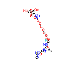 Cc1nc2cc(C(=O)Nc3nc(-c4ccccn4)cs3)ccc2n1CCCC(=O)NCc1ccc(OC(=O)CCOCCOCCOCCOCCOCCOCCNC(=O)Nc2ccc3c(c2)C(=O)OC32c3ccc(O)cc3Oc3cc(O)ccc32)c(F)c1